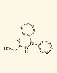 O=C(CS)NN(c1ccccc1)c1ccccc1